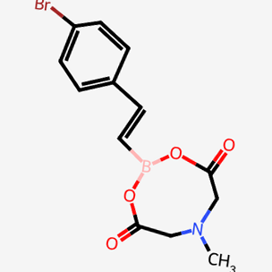 CN1CC(=O)OB(C=Cc2ccc(Br)cc2)OC(=O)C1